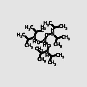 CC(C)[SiH](O[SiH](O[SiH](C(C)C)C(C)C)O[SiH](C(C)C)C(C)C)C(C)C